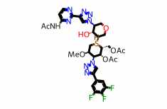 CO[C@H]1C[SH]([C@@H]2COC[C@H](n3cc(-c4nccc(NC(C)=O)n4)nn3)[C@H]2O)[C@H](COC(C)=O)[C@H](OC(C)=O)[C@H]1n1cc(-c2cc(F)c(F)c(F)c2)nn1